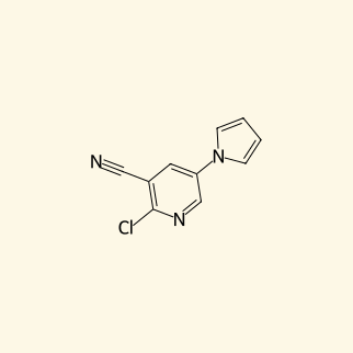 N#Cc1cc(-n2cccc2)cnc1Cl